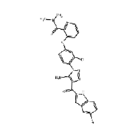 CN(C)C(=O)c1ccccc1Oc1ccc(-n2ncc(C(=O)c3cc4cc(Br)ccc4[nH]3)c2N)c(Cl)c1